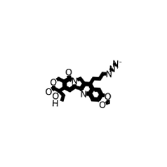 CC[C@@]1(O)C(=O)OCc2c1cc1n(c2=O)Cc2c-1nc1cc3c(cc1c2CCCN=[N+]=[N-])OCO3